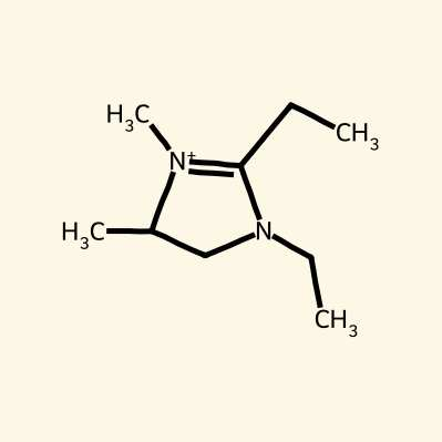 CCC1=[N+](C)C(C)CN1CC